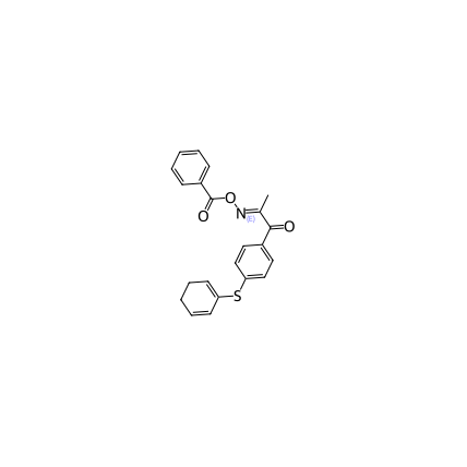 C/C(=N\OC(=O)c1ccccc1)C(=O)c1ccc(SC2=CCCC=C2)cc1